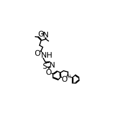 Cc1noc(C)c1CCC(=O)NCc1cnc(Oc2ccc3c(c2)CC[C@@H](c2ccccc2)O3)s1